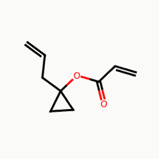 C=CCC1(OC(=O)C=C)CC1